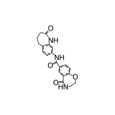 O=C1CCCc2ccc(NC(=O)c3ccc4c(c3)C(=O)NCCO4)cc2N1